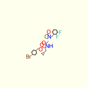 O=C(C[C@@H]1CCC(=O)N1Cc1cccc(F)c1F)N[C@@H](CC1CC1)C(=O)OCc1ccc(Br)cc1